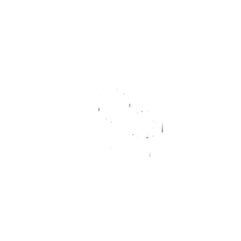 N[C@H]1[C@@H]2CC[C@@H](C2)C12CCC(O)CC2